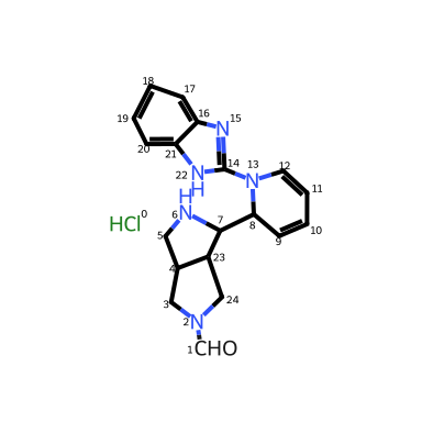 Cl.O=CN1CC2CNC(C3C=CC=CN3c3nc4ccccc4[nH]3)C2C1